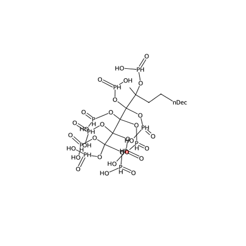 CCCCCCCCCCCCC(C)(O[PH](=O)O)C(O[PH](=O)O)(O[PH](=O)O)C(O[PH](=O)O)(O[PH](=O)O)C(O[PH](=O)O)(O[PH](=O)O)C(O[PH](=O)O)(O[PH](=O)O)O[PH](=O)O